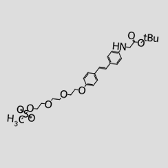 CC(C)(C)OC(=O)CNc1ccc(/C=C/c2ccc(OCCOCCOCCOS(C)(=O)=O)cc2)cc1